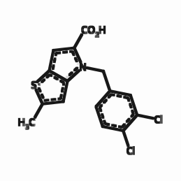 Cc1cc2c(cc(C(=O)O)n2Cc2ccc(Cl)c(Cl)c2)s1